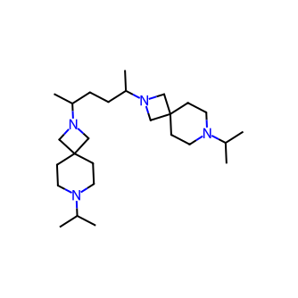 CC(C)N1CCC2(CC1)CN(C(C)CCC(C)N1CC3(CCN(C(C)C)CC3)C1)C2